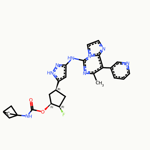 Cc1nc(Nc2cc([C@H]3C[C@@H](F)[C@@H](OC(=O)NC45CC(C4)C5)C3)[nH]n2)n2ccnc2c1-c1cccnc1